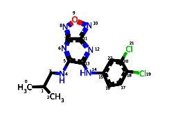 CC(C)CNc1nc2nonc2nc1Nc1ccc(Cl)c(Cl)c1